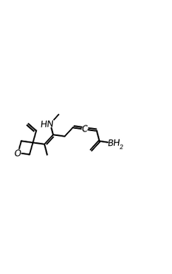 BC(=C)C=C=CC/C(NC)=C(\C)C1(C=C)COC1